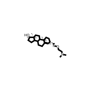 CN(C)CCON=C[C@@H]1C=C2CCC3C(CC[C@@]4(C)C3CC[C@@H]4O)[C@@]2(C)CC1